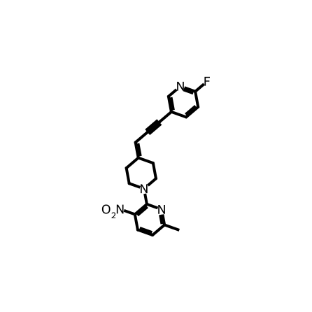 Cc1ccc([N+](=O)[O-])c(N2CCC(=CC#Cc3ccc(F)nc3)CC2)n1